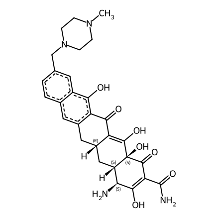 CN1CCN(Cc2ccc3cc4c(c(O)c3c2)C(=O)C2=C(O)[C@]3(O)C(=O)C(C(N)=O)=C(O)[C@@H](N)[C@@H]3C[C@@H]2C4)CC1